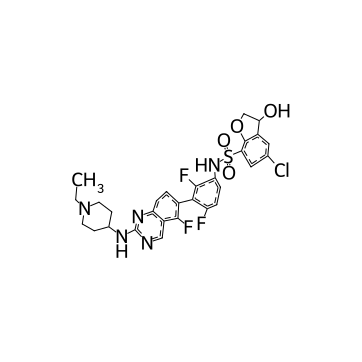 CCN1CCC(Nc2ncc3c(F)c(-c4c(F)ccc(NS(=O)(=O)c5cc(Cl)cc6c5OCC6O)c4F)ccc3n2)CC1